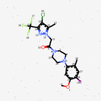 COc1cc(N2CCN(C(=O)Cn3nc(C(F)(F)F)c(Cl)c3C)CC2)c(C)cc1I